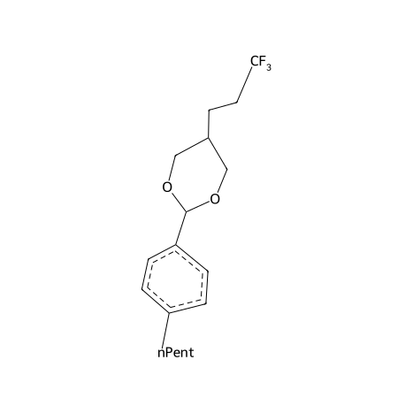 CCCCCc1ccc(C2OCC(CCC(F)(F)F)CO2)cc1